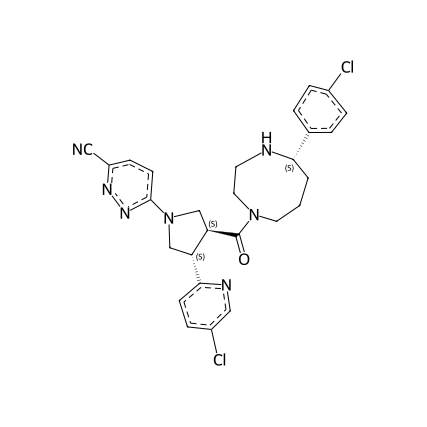 N#Cc1ccc(N2C[C@@H](C(=O)N3CCC[C@@H](c4ccc(Cl)cc4)NCC3)[C@H](c3ccc(Cl)cn3)C2)nn1